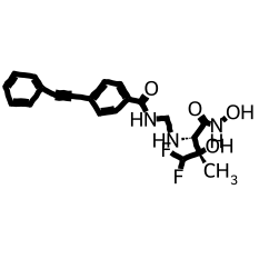 C[C@@](O)(C(F)F)[C@H](NCNC(=O)c1ccc(C#Cc2ccccc2)cc1)C(=O)NO